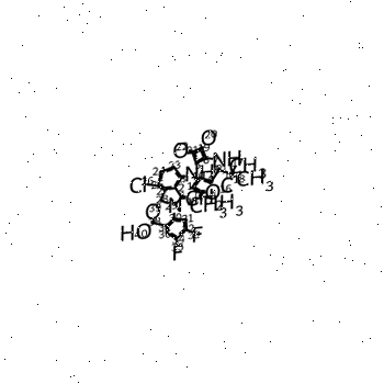 C=C1c2c(Nc3c(N[C@@H](c4ccc(C)o4)C(C)(C)C)c(=O)c3=O)ccc(Cl)c2CN1c1cc(F)c(F)cc1C(=O)O